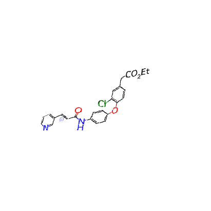 CCOC(=O)Cc1ccc(Oc2ccc(NC(=O)/C=C/c3cccnc3)cc2)c(Cl)c1